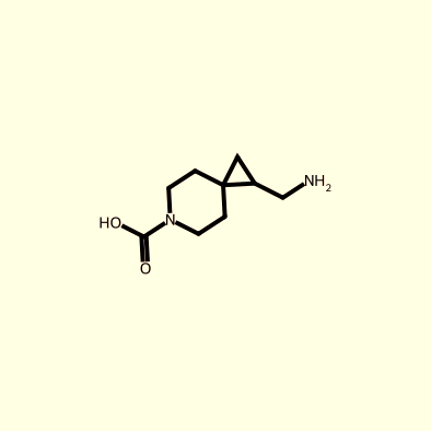 NCC1CC12CCN(C(=O)O)CC2